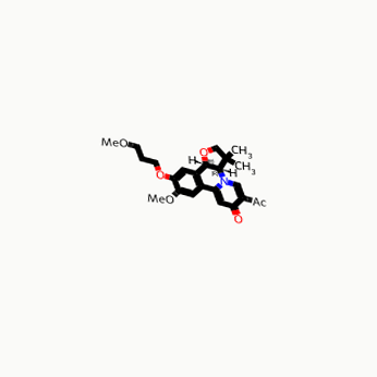 COCCCOc1cc2c(cc1OC)-c1cc(=O)c(C(C)=O)cn1[C@H]1[C@@H]2OCC1(C)C